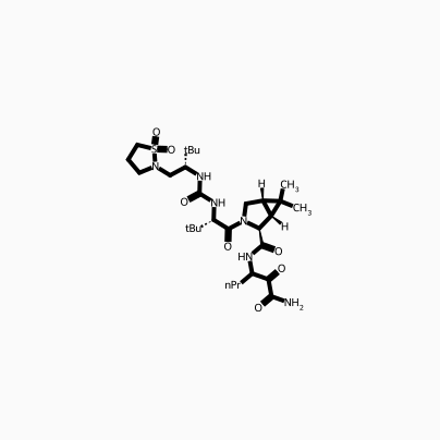 CCCC(NC(=O)[C@@H]1[C@@H]2[C@H](CN1C(=O)[C@@H](NC(=O)N[C@H](CN1CCCS1(=O)=O)C(C)(C)C)C(C)(C)C)C2(C)C)C(=O)C(N)=O